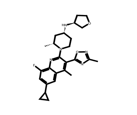 Cc1noc(-c2c(N3CC[C@@H](N[C@H]4CCOC4)C[C@H]3C)nc3c(F)cc(C4CC4)cc3c2C)n1